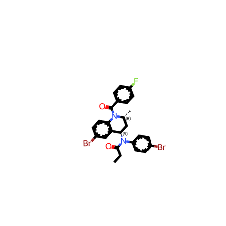 CCC(=O)N(c1ccc(Br)cc1)[C@H]1C[C@@H](C)N(C(=O)c2ccc(F)cc2)c2ccc(Br)cc21